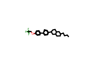 CCCCC1CCC2CC(c3ccc(-c4ccc(OCC(F)(F)F)cc4)cc3)CCC2C1